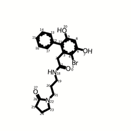 O=C(Cc1c(Br)c(O)cc(O)c1-c1ccccc1)NCCCN1CCCC1=O